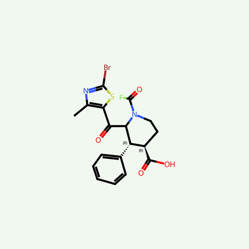 Cc1nc(Br)sc1C(=O)C1[C@@H](c2ccccc2)[C@H](C(=O)O)CCN1C(=O)F